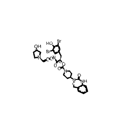 O=C(N=C=C=CN1CC[C@@H](O)C1)[C@@H](Cc1cc(Br)c(O)c(Br)c1)OC(=O)N1CCC(N2CCc3ccccc3NC2=O)CC1